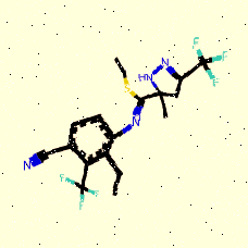 CCSC(=Nc1ccc(C#N)c(C(F)(F)F)c1CC)C1(C)CC(C(F)(F)F)=NN1